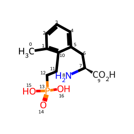 Cc1cccc(C[C@H](N)C(=O)O)c1CCP(=O)(O)O